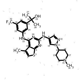 Cc1csc2nc(Nc3cnn(C4CCN(C)CC4)c3)nc(Nc3cc(C(C)(C)O)cc(C(F)(F)F)c3)c12